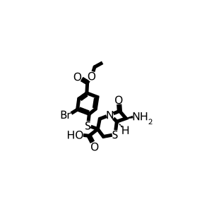 CCOC(=O)c1ccc(SC2(C(=O)O)CS[C@@H]3[C@H](N)C(=O)N3C2)c(Br)c1